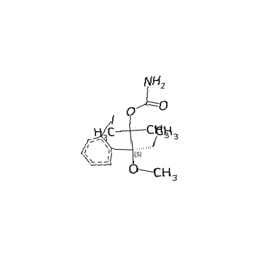 CC[C@](OC)(c1ccccc1I)C(C)(C)OC(N)=O